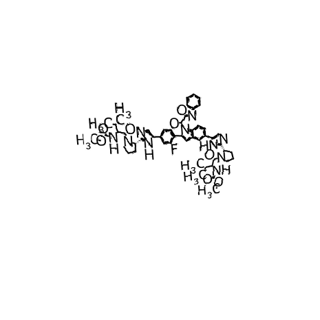 COC(=O)NC(C(=O)N1CCC[C@H]1c1ncc(-c2cc(F)c3c(c2)OC(c2nc4ccccc4o2)n2c-3cc3cc(-c4cnc([C@@H]5CCCN5C(=O)C(NC(=O)OC)C(C)C)[nH]4)ccc32)[nH]1)C(C)C